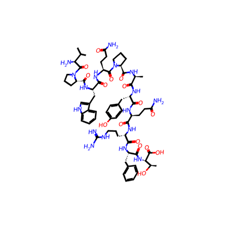 CC(C)[C@H](N)C(=O)N1CCC[C@H]1C(=O)N[C@@H](Cc1c[nH]c2ccccc12)C(=O)N[C@@H](CCC(N)=O)C(=O)N1CCC[C@H]1C(=O)N[C@@H](C)C(=O)N[C@@H](Cc1ccc(O)cc1)C(=O)N[C@@H](CCC(N)=O)C(=O)N[C@@H](CCCNC(=N)N)C(=O)N[C@@H](Cc1ccccc1)C(=O)N[C@H](C(=O)O)[C@@H](C)O